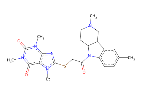 CCn1c(SCC(=O)N2c3ccc(C)cc3C3CN(C)CCC32)nc2c1c(=O)n(C)c(=O)n2C